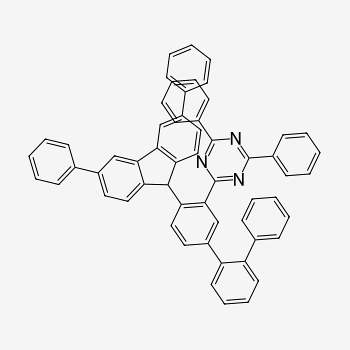 c1ccc(-c2ccc3c(c2)-c2cc(-c4ccccc4)ccc2C3c2ccc(-c3ccccc3-c3ccccc3)cc2-c2nc(-c3ccccc3)nc(-c3ccccc3)n2)cc1